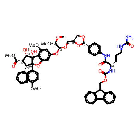 COC(=O)[C@H]1[C@@H](c2ccccc2)[C@@]2(c3ccc(OC)cc3)Oc3cc(O[C@@H]4O[C@@H]([C@H]5CO[C@H](c6ccc(NC(=O)[C@H](CCCNC(N)=O)NC(=O)OCC7c8ccccc8-c8ccccc87)cc6)O5)CO[C@H]4OC)cc(OC)c3[C@]2(O)[C@H]1O